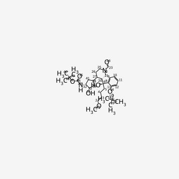 COCCCC[C@@](O)(c1ccccc1OCC(C)(C)C)[C@H]1CN(C=O)CCC1C1C[C@H](O)[C@H](NC(=O)OC(C)(C)C)C1